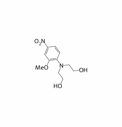 COc1cc([N+](=O)[O-])ccc1N(CCO)CCO